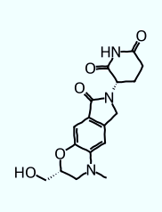 CN1C[C@H](CO)Oc2cc3c(cc21)CN([C@H]1CCC(=O)NC1=O)C3=O